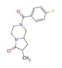 CC1CC2CN(C(=O)c3ccc(F)cc3)CCN2C1=O